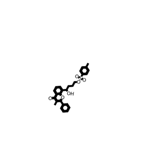 Cc1ccc(S(=O)(=O)OCCCC(O)c2cccc3c(=O)c(C)c(-c4ccccc4)oc23)cc1